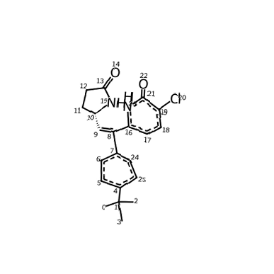 CC(C)(C)c1ccc(/C(=C/[C@@H]2CCC(=O)N2)c2ccc(Cl)c(=O)[nH]2)cc1